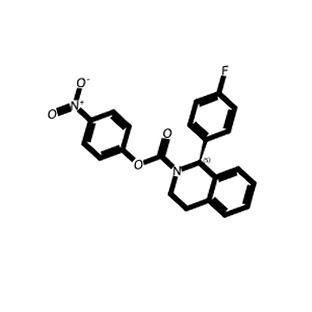 O=C(Oc1ccc([N+](=O)[O-])cc1)N1CCc2ccccc2[C@@H]1c1ccc(F)cc1